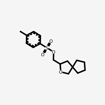 Cc1ccc(S(=O)(=O)OCC2CC3(CCCC3)CO2)cc1